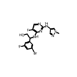 Cn1cc(Nc2ncc(F)c(NC(CO)c3cc(F)cc(Br)c3)n2)cn1